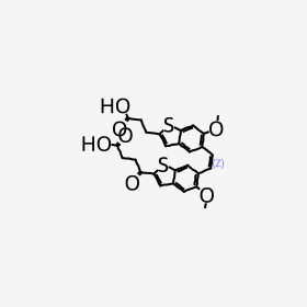 COc1cc2cc(C(=O)CCC(=O)O)sc2cc1/C=C\c1cc2cc(CCC(=O)O)sc2cc1OC